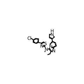 CCc1nc2ccc(C3=CCNC3)cn2c1N(C)c1nc(-c2ccc(Cl)cc2)cs1